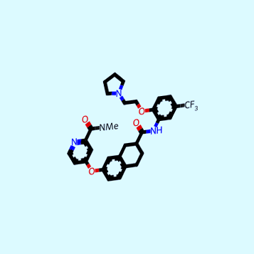 CNC(=O)c1cc(Oc2ccc3c(c2)CC(C(=O)Nc2cc(C(F)(F)F)ccc2OCCN2CCCC2)CC3)ccn1